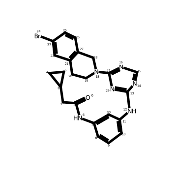 O=C(CC1CC1)Nc1cccc(Nc2ncnc(N3CCc4cc(Br)ccc4C3)n2)c1